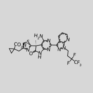 C[C@@]1(c2nc(CC3(C(=O)O)CC3)cs2)C(=O)Nc2nc(-c3nn(CCC(F)(F)C(F)(F)F)c4ncccc34)nc(N)c21